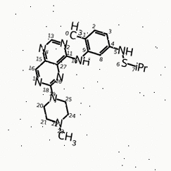 Cc1ccc(NSC(C)C)cc1Nc1ncnc2cnc(N3CCN(C)CC3)nc12